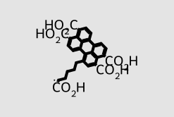 O=C(O)[CH]CCCCc1cc(C(=O)O)c2c(C(=O)O)ccc3c4ccc(C(=O)O)c5c(C(=O)O)ccc(c1c23)c54